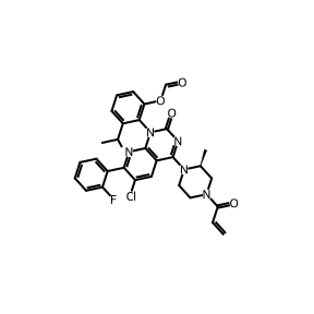 C=CC(=O)N1CCN(c2nc(=O)n(-c3c(OC=O)cccc3C(C)C)c3nc(-c4ccccc4F)c(Cl)cc23)[C@@H](C)C1